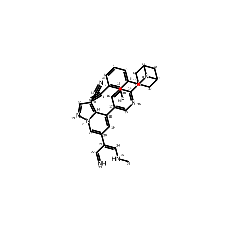 C#Cc1cccc(CN2C3CC2CN(c2ccc(-c4cc(/C(C=N)=C/NC)cn5ncc(C#N)c45)cn2)C3)c1F